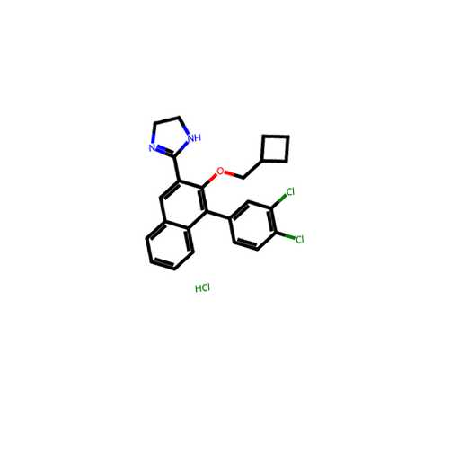 Cl.Clc1ccc(-c2c(OCC3CCC3)c(C3=NCCN3)cc3ccccc23)cc1Cl